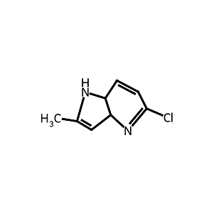 CC1=CC2N=C(Cl)C=CC2N1